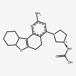 Nc1nc2c(c(N3CC[C@@H](NC(=O)O)C3)n1)CCC1=C2C2CCCCC2O1